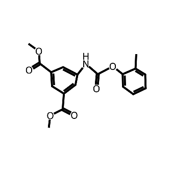 COC(=O)c1cc(NC(=O)Oc2ccccc2C)cc(C(=O)OC)c1